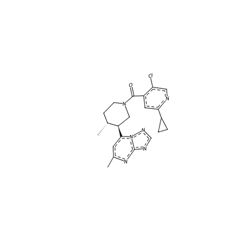 Cc1cc([C@@H]2CN(C(=O)c3cc(C4CC4)ncc3Cl)CC[C@H]2C)n2ncnc2n1